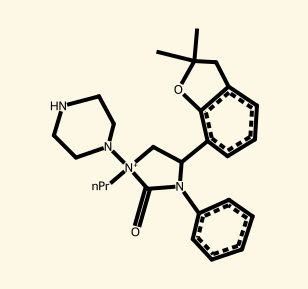 CCC[N+]1(N2CCNCC2)CC(c2cccc3c2OC(C)(C)C3)N(c2ccccc2)C1=O